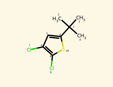 CC(C)(C)c1cc(Cl)c(Cl)s1